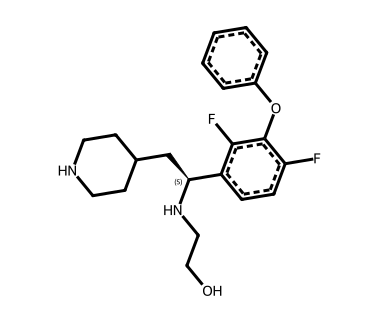 OCCN[C@@H](CC1CCNCC1)c1ccc(F)c(Oc2ccccc2)c1F